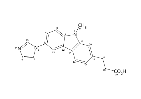 Cn1c2ccc(-n3ccnc3)cc2c2ccc(CCC(=O)O)cc21